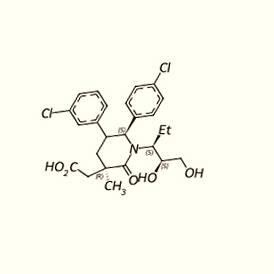 CC[C@@H]([C@H](O)CO)N1C(=O)[C@@](C)(CC(=O)O)CC(c2cccc(Cl)c2)[C@H]1c1ccc(Cl)cc1